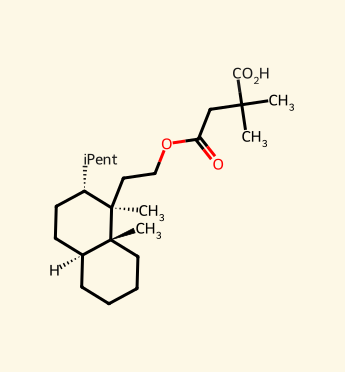 CCCC(C)[C@H]1CC[C@@H]2CCCC[C@@]2(C)[C@]1(C)CCOC(=O)CC(C)(C)C(=O)O